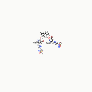 COc1nc(OCc2cccc(-c3cccc(COc4nc(OC)c(CNCCNS(C)(=O)=O)cc4Br)c3C)c2C)c(Br)cc1CNCCNS(C)(=O)=O